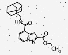 CCOC(=O)c1cc2c(C(=O)NCC34CC5CC(CC(C5)C3)C4)cccn2n1